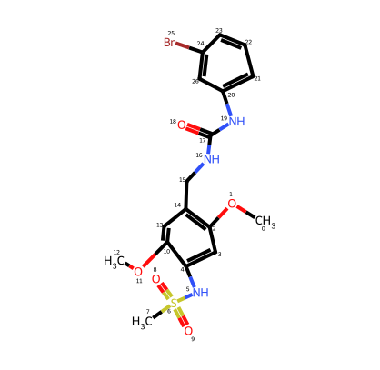 COc1cc(NS(C)(=O)=O)c(OC)cc1CNC(=O)Nc1cccc(Br)c1